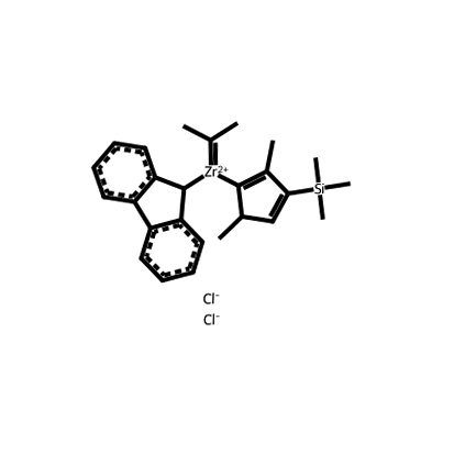 CC1=[C]([Zr+2](=[C](C)C)[CH]2c3ccccc3-c3ccccc32)C(C)C=C1[Si](C)(C)C.[Cl-].[Cl-]